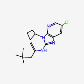 C=C(CC(C)(C)C)Nc1nc2cc(Cl)cnc2n1C1CCC1